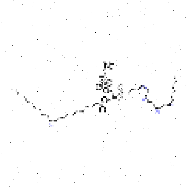 CCCCC/C=C\C/C=C\C/C=C\C/C=C\CCCC(=O)O[C@H](COC(=O)CCCCCCCCC/C=C\CCCCCCCCCC)COP(=O)([O-])OCC[N+](C)(C)C